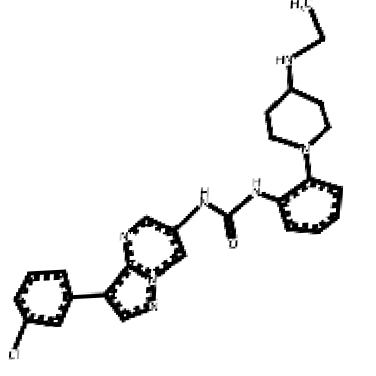 CCNC1CCN(c2ccccc2NC(=O)Nc2cnc3c(-c4cccc(Cl)c4)cnn3c2)CC1